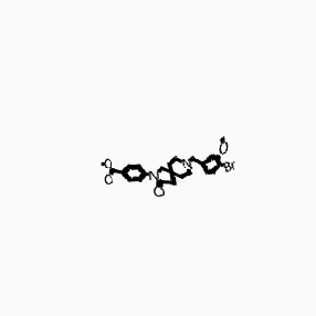 COC(=O)c1ccc(N2CC3(CCN(Cc4ccc(Br)c(OC)c4)CC3)CC2=O)cc1